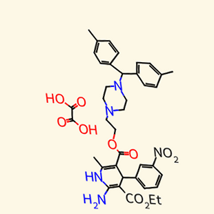 CCOC(=O)C1=C(N)NC(C)=C(C(=O)OCCN2CCN(C(c3ccc(C)cc3)c3ccc(C)cc3)CC2)C1c1cccc([N+](=O)[O-])c1.O=C(O)C(=O)O